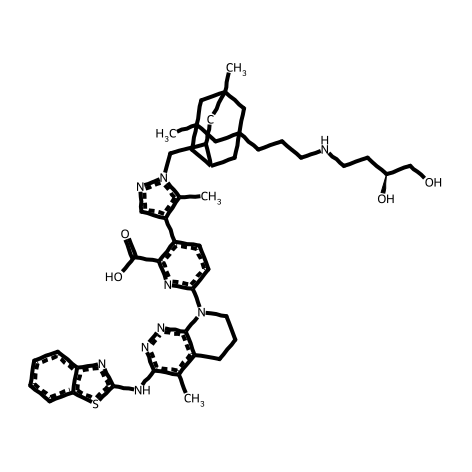 Cc1c(Nc2nc3ccccc3s2)nnc2c1CCCN2c1ccc(-c2cnn(CC3CC4(C)CC5(C)CC3CC(CCCNCC[C@H](O)CO)(C4)C5)c2C)c(C(=O)O)n1